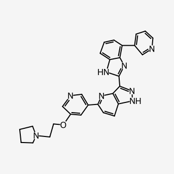 c1cncc(-c2cccc3[nH]c(-c4n[nH]c5ccc(-c6cncc(OCCN7CCCC7)c6)nc45)nc23)c1